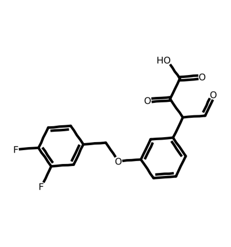 O=CC(C(=O)C(=O)O)c1cccc(OCc2ccc(F)c(F)c2)c1